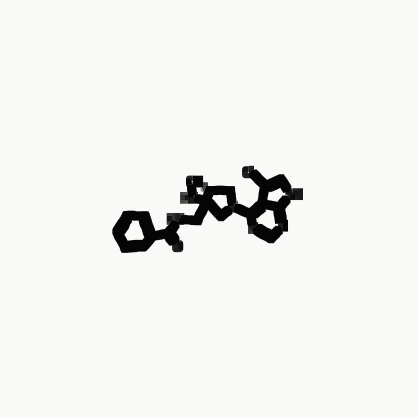 CNC1(CNC(=O)c2ccccc2)CCN(c2ncnc3[nH]cc(Cl)c23)C1